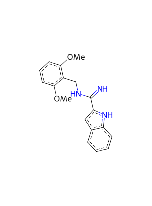 COc1cccc(OC)c1CNC(=N)c1cc2ccccc2[nH]1